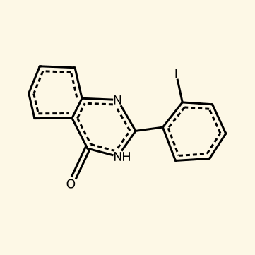 O=c1[nH]c(-c2ccccc2I)nc2ccccc12